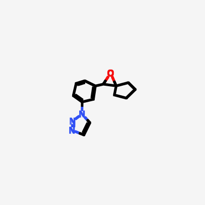 c1cc(C2OC23CCCC3)cc(-n2ccnn2)c1